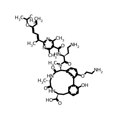 C=C/C(=C\C=C(/C)c1nc(C)c(C(=O)N[C@@H](CCN)C(=O)N(C)[C@@H]2C(=O)N[C@@H](C)C(=O)N[C@H](C(=O)O)Cc3ccc(O)c(c3)-c3cc2ccc3OCCN)c(C)n1)OC(C)C